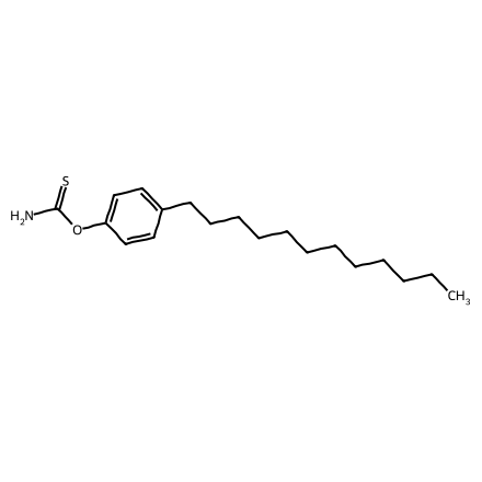 CCCCCCCCCCCCc1ccc(OC(N)=S)cc1